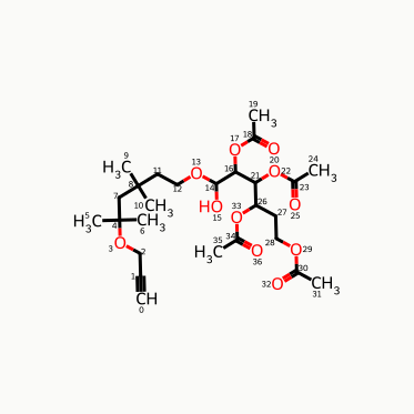 C#CCOC(C)(C)CC(C)(C)CCOC(O)C(OC(C)=O)C(OC(C)=O)C(CCOC(C)=O)OC(C)=O